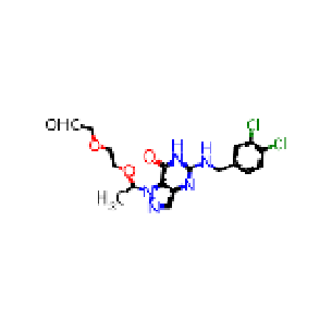 CC(OCCOCC=O)n1ncc2nc(NCc3ccc(Cl)c(Cl)c3)[nH]c(=O)c21